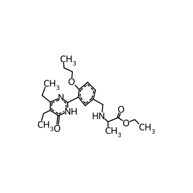 CCCOc1ccc(CNC(C)C(=O)OCC)cc1-c1nc(CC)c(CC)c(=O)[nH]1